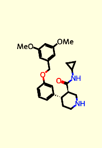 COc1cc(COc2cccc([C@H]3CCNC[C@@H]3C(=O)NC3CC3)c2)cc(OC)c1